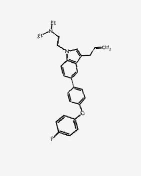 C=CCc1cn(CCN(CC)CC)c2ccc(-c3ccc(Oc4ccc(F)cc4)cc3)cc12